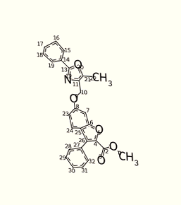 COC(=O)c1oc2cc(OCc3nc(-c4ccccc4)oc3C)ccc2c1-c1ccccc1